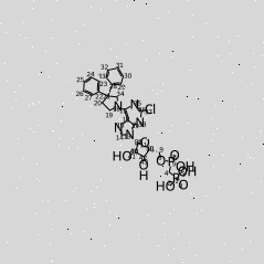 O=P(O)(O)CP(=O)(O)OC[C@H]1O[C@@H](n2cnc3c(N4CCC(c5ccccc5)(c5ccccc5)C4)nc(Cl)nc32)[C@@H](O)C1O